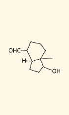 CC12CCCC(C=O)[C@@H]1CCC2O